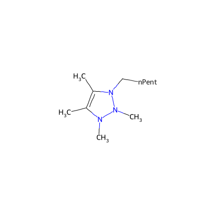 CCCCCCN1C(C)=C(C)N(C)N1C